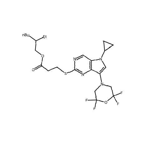 CCCCC(CC)COC(=O)CCSc1ncc2c(n1)c(N1CC(F)(F)OC(F)(F)C1)cn2C1CC1